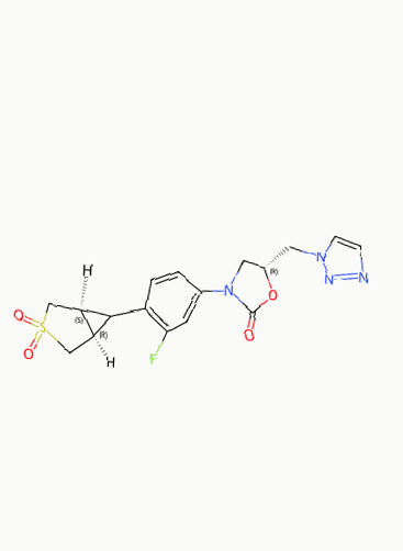 O=C1O[C@@H](Cn2ccnn2)CN1c1ccc(C2[C@H]3CS(=O)(=O)C[C@@H]23)c(F)c1